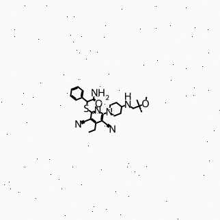 CCc1c(C#N)c(SC(C(N)=O)c2ccccc2)nc(N2CCC(NCC(C)(C)OC)CC2)c1C#N